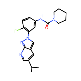 CC(C)c1cnc2nn(-c3cc(NC(=O)N4CCCCC4)ccc3F)cc2c1